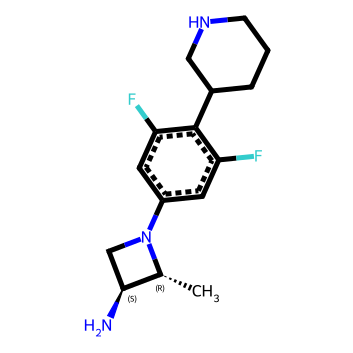 C[C@@H]1[C@@H](N)CN1c1cc(F)c(C2CCCNC2)c(F)c1